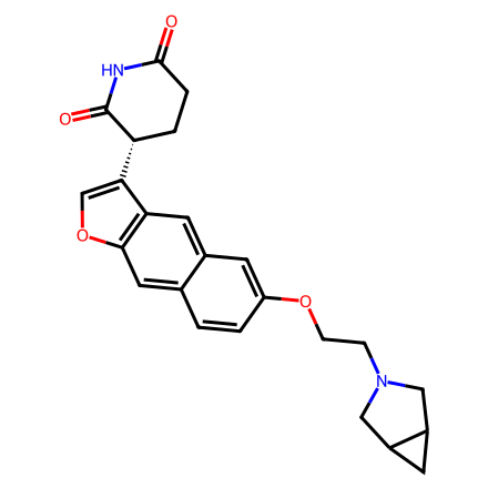 O=C1CC[C@H](c2coc3cc4ccc(OCCN5CC6CC6C5)cc4cc23)C(=O)N1